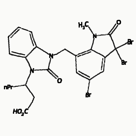 CCCC(CC(=O)O)n1c(=O)n(Cc2cc(Br)cc3c2N(C)C(=O)C3(Br)Br)c2ccccc21